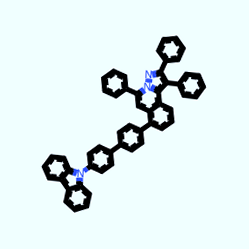 c1ccc(-c2nn3c(-c4ccccc4)cc4c(-c5ccc(-c6ccc(-n7c8ccccc8c8ccccc87)cc6)cc5)cccc4c3c2-c2ccccc2)cc1